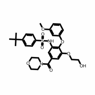 COc1cccc(Oc2c(NS(=O)(=O)c3ccc(C(C)(C)C)cc3)cc(C(=O)N3CCOCC3)cc2OCCO)c1